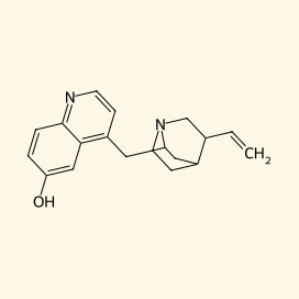 C=CC1CN2CCC1CC2Cc1ccnc2ccc(O)cc12